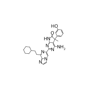 CC1(c2cccc(O)c2)C(=O)Nc2nc(-c3cn4ccnc4c(CCC4CCCCC4)n3)nc(N)c21